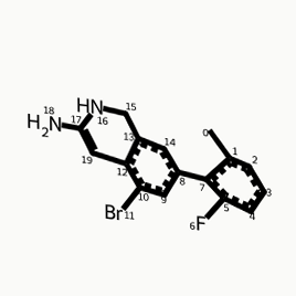 Cc1cccc(F)c1-c1cc(Br)c2c(c1)CNC(N)=C2